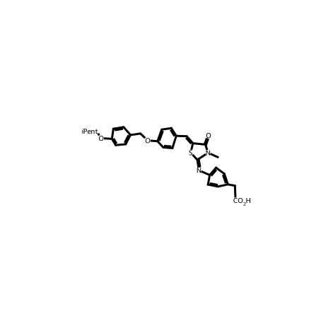 CCCC(C)Oc1ccc(COc2ccc(/C=C3\S/C(=N/c4ccc(CC(=O)O)cc4)N(C)C3=O)cc2)cc1